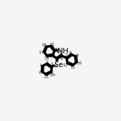 c1ccc([Se]c2c(-c3ccccc3)[nH]c3ccccc23)cc1